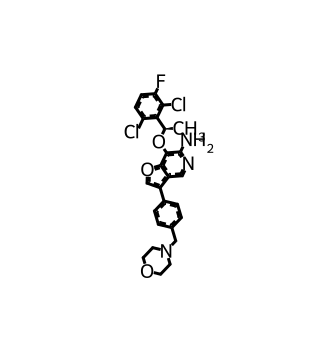 C[C@@H](Oc1c(N)ncc2c(-c3ccc(CN4CCOCC4)cc3)coc12)c1c(Cl)ccc(F)c1Cl